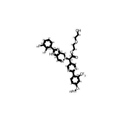 CCCOc1ccc(-c2ncc(C(C(=O)OCCOCCO)N3Cc4nc(-c5cccc(F)c5F)[nH]c4C=N3)cn2)c(C(F)(F)F)c1